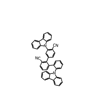 N#Cc1ccc(-c2c(C#N)cccc2-c2ccccc2-n2c3ccccc3c3ccccc32)cc1-n1c2ccccc2c2ccccc21